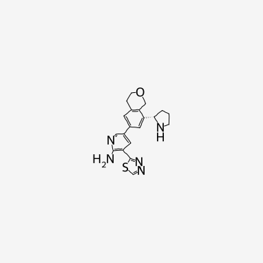 Nc1ncc(-c2cc3c(c([C@@H]4CCCN4)c2)COCC3)cc1-c1nncs1